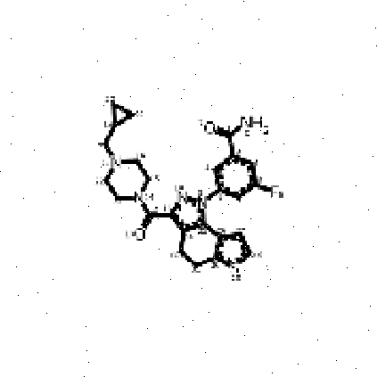 NC(=O)c1cc(F)cc(-n2nc(C(=O)N3CCN(CC4CC4)CC3)c3c2-c2ccsc2CC3)c1